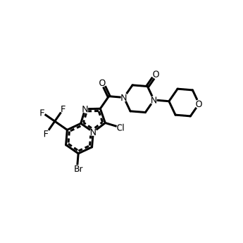 O=C(c1nc2c(C(F)(F)F)cc(Br)cn2c1Cl)N1CCN(C2CCOCC2)C(=O)C1